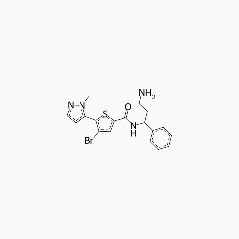 Cn1nccc1-c1sc(C(=O)NC(CCN)c2ccccc2)cc1Br